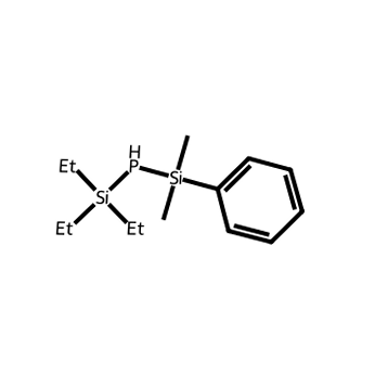 CC[Si](CC)(CC)P[Si](C)(C)c1ccccc1